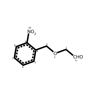 O=CCOCc1ccccc1[N+](=O)[O-]